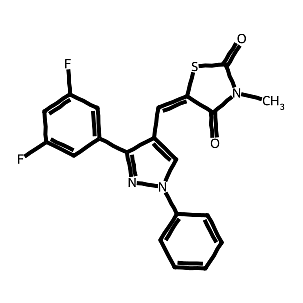 CN1C(=O)SC(=Cc2cn(-c3ccccc3)nc2-c2cc(F)cc(F)c2)C1=O